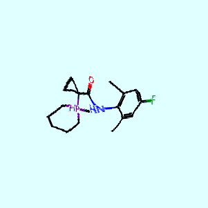 Cc1cc(F)cc(C)c1NC(=O)C1([PH]2(C)CCCCC2)CC1